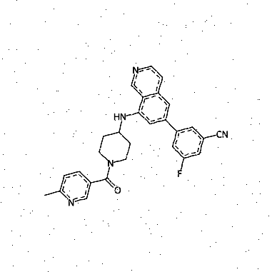 Cc1ccc(C(=O)N2CCC(Nc3cc(-c4cc(F)cc(C#N)c4)cc4ccncc34)CC2)cn1